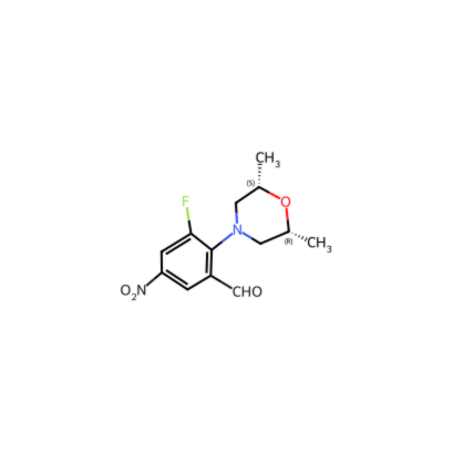 C[C@@H]1CN(c2c(F)cc([N+](=O)[O-])cc2C=O)C[C@H](C)O1